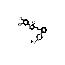 CN1CCN(c2ccccc2CCC2CCN(c3ccc(Cl)c(Cl)c3)C2=O)CC1